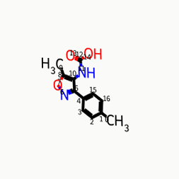 Cc1ccc(-c2noc(C)c2NC(=O)O)cc1